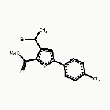 COC(=O)c1sc(-c2ccc(C(F)(F)F)cc2)cc1C(C)Br